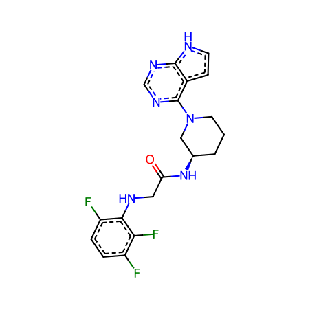 O=C(CNc1c(F)ccc(F)c1F)N[C@@H]1CCCN(c2ncnc3[nH]ccc23)C1